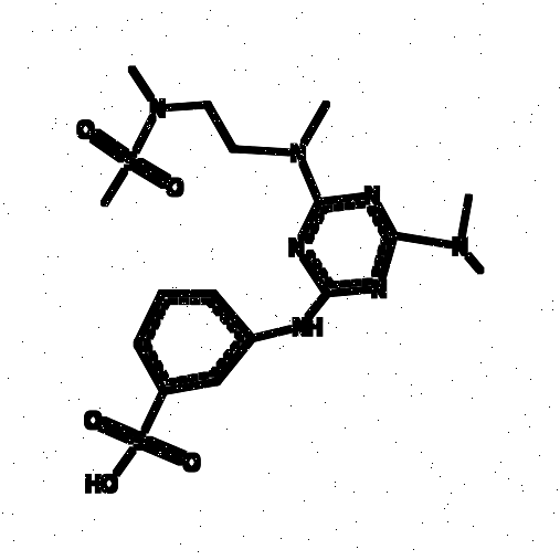 CN(C)c1nc(Nc2cccc(S(=O)(=O)O)c2)nc(N(C)CCN(C)S(C)(=O)=O)n1